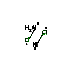 [AlH2][Cl].[Cl][Ni]